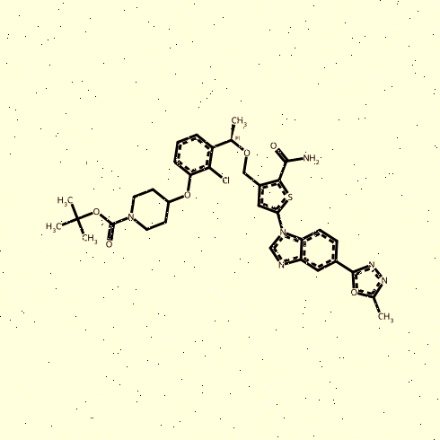 Cc1nnc(-c2ccc3c(c2)ncn3-c2cc(CO[C@H](C)c3cccc(OC4CCN(C(=O)OC(C)(C)C)CC4)c3Cl)c(C(N)=O)s2)o1